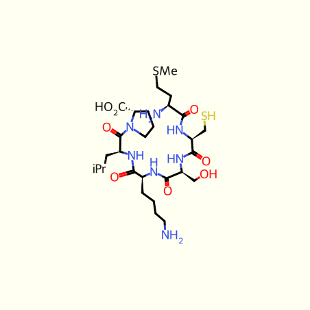 CSCC[C@H](N)C(=O)N[C@@H](CS)C(=O)N[C@@H](CO)C(=O)N[C@@H](CCCCN)C(=O)N[C@@H](CC(C)C)C(=O)N1CCC[C@H]1C(=O)O